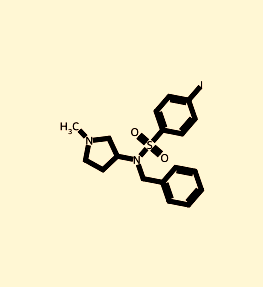 CN1CCC(N(Cc2ccccc2)S(=O)(=O)c2ccc(I)cc2)C1